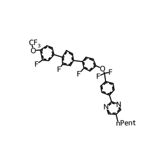 CCCCCc1cnc(-c2ccc(C(F)(F)Oc3ccc(-c4ccc(-c5ccc(OC(F)(F)F)c(F)c5)c(F)c4)c(F)c3)cc2)nc1